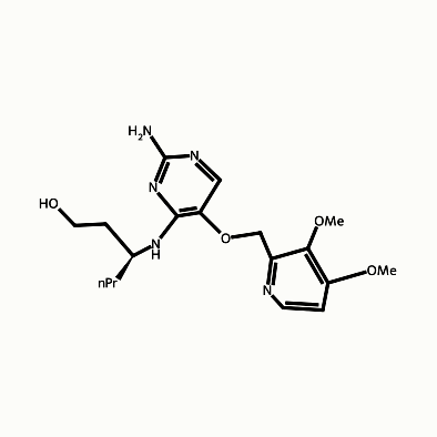 CCC[C@@H](CCO)Nc1nc(N)ncc1OCc1nccc(OC)c1OC